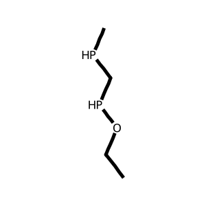 CCOPCPC